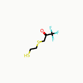 O=C(CSCCS)C(F)(F)F